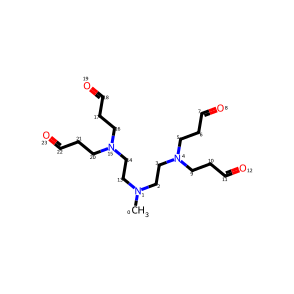 CN(CCN(CCC=O)CCC=O)CCN(CCC=O)CCC=O